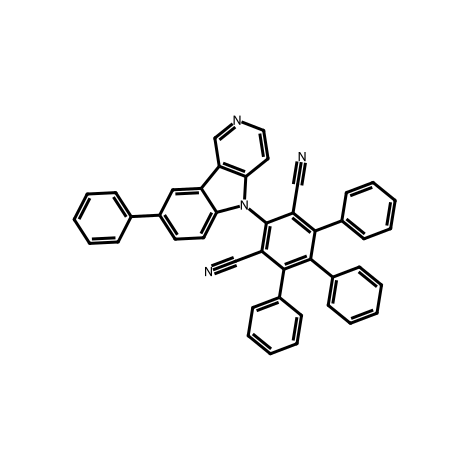 N#Cc1c(-c2ccccc2)c(-c2ccccc2)c(-c2ccccc2)c(C#N)c1-n1c2ccncc2c2cc(-c3ccccc3)ccc21